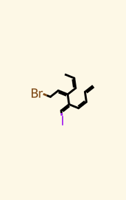 C=C\C=C/C(=C\I)C(/C=C\C)=C\CBr